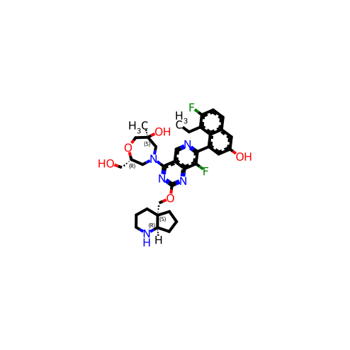 CCc1c(F)ccc2cc(O)cc(-c3ncc4c(N5C[C@H](CO)OC[C@@](C)(O)C5)nc(OC[C@@]56CCCN[C@@H]5CCC6)nc4c3F)c12